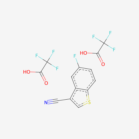 N#Cc1csc2ccc(F)cc12.O=C(O)C(F)(F)F.O=C(O)C(F)(F)F